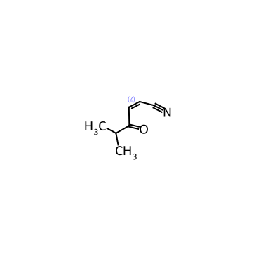 CC(C)C(=O)/C=C\C#N